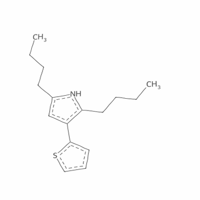 CCCCc1cc(-c2cccs2)c(CCCC)[nH]1